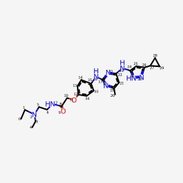 CCN(CC)CCNC(=O)COc1ccc(Nc2nc(C)cc(Nc3cc(C4CC4)n[nH]3)n2)cc1